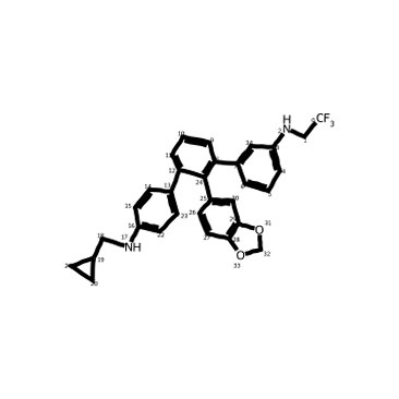 FC(F)(F)CNc1cc[c]c(-c2cccc(-c3ccc(NCC4CC4)cc3)c2-c2ccc3c(c2)OCO3)c1